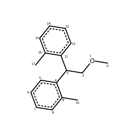 COCC(c1ccccc1C)c1ccccc1C